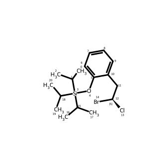 CC(C)[Si](Oc1ccccc1C[C@@H](Cl)Br)(C(C)C)C(C)C